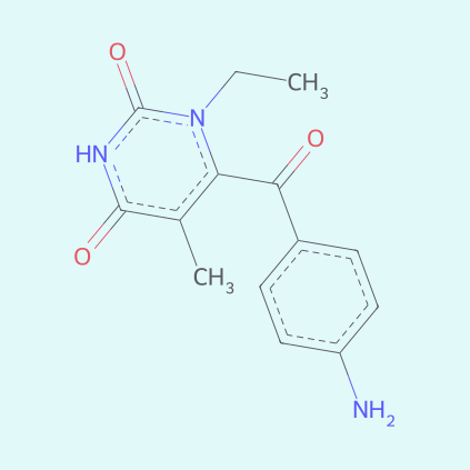 CCn1c(C(=O)c2ccc(N)cc2)c(C)c(=O)[nH]c1=O